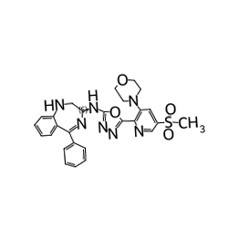 CS(=O)(=O)c1cnc(-c2nnc(N[C@@H]3CNc4ccccc4C(c4ccccc4)=N3)o2)c(N2CCOCC2)c1